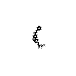 O=C(CCN1CCC2(CC1)COc1cc(C(=O)CCc3ccccc3)ccc12)OC(=O)C(F)(F)F